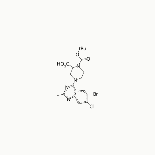 Cc1nc(N2CCN(C(=O)OC(C)(C)C)C(C(=O)O)C2)c2cc(Br)c(Cl)cc2n1